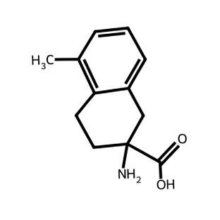 Cc1cccc2c1CCC(N)(C(=O)O)C2